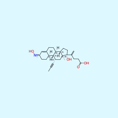 C=C(CCC(=O)O)[C@]1(O)CC[C@H]2[C@@H]3CCC4=C/C(=N\O)CC[C@@H]4[C@H]3[C@@H](C#CC)C[C@@]21C